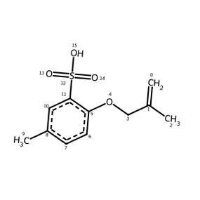 C=C(C)COc1ccc(C)cc1S(=O)(=O)O